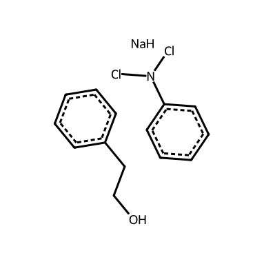 ClN(Cl)c1ccccc1.OCCc1ccccc1.[NaH]